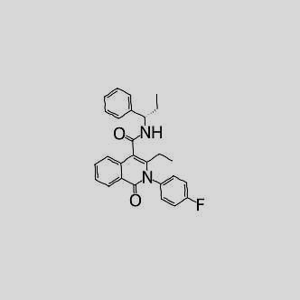 CCc1c(C(=O)N[C@@H](CC)c2ccccc2)c2ccccc2c(=O)n1-c1ccc(F)cc1